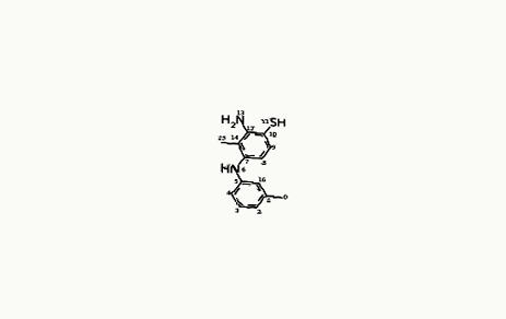 Cc1cccc(Nc2ccc(S)c(N)c2C)c1